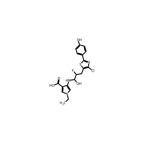 CCn1cc(NC(O)C(F)Cc2sc(-c3ccc(O)cc3)nc2Cl)c(C(=O)O)c1